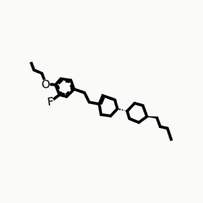 CCCC[C@H]1CC[C@H](C2CC=C(CCc3ccc(OCCC)c(F)c3)CC2)CC1